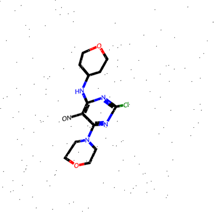 O=Nc1c(NC2CCOCC2)nc(Cl)nc1N1CCOCC1